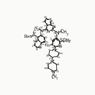 CCc1cc(N(C)c2nc(N(I)c3ccc4nccnc4c3N(C)SC)c3ccsc3n2)c(OC)nc1N1CCC(N2CCN(C)CC2)CC1